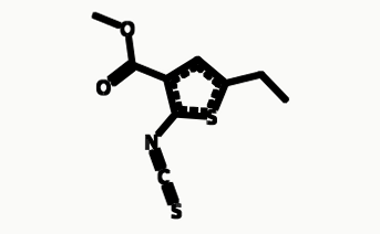 CCc1cc(C(=O)OC)c(N=C=S)s1